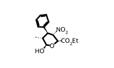 CCOC(=O)[C@@H]1O[C@@H](O)[C@H](C)[C@@H](c2ccccc2)[C@@H]1[N+](=O)[O-]